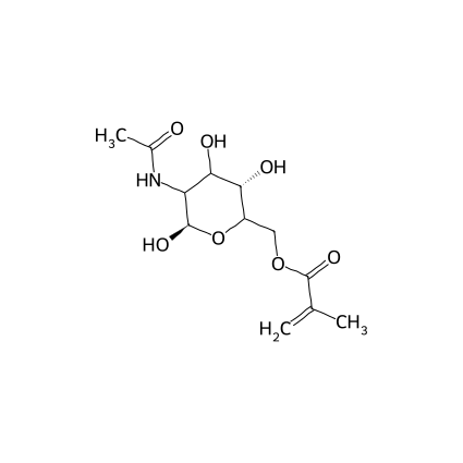 C=C(C)C(=O)OCC1O[C@@H](O)C(NC(C)=O)C(O)[C@@H]1O